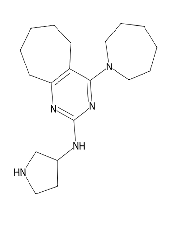 C1CCc2nc(NC3CCNC3)nc(N3CCCCCC3)c2CC1